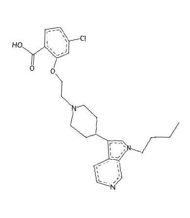 CCCCn1cc(C2CCN(CCOc3cc(Cl)ccc3C(=O)O)CC2)c2ccncc21